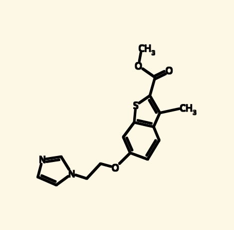 COC(=O)c1sc2cc(OCCn3ccnc3)ccc2c1C